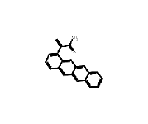 C=C(C(N)=O)c1cccc2cc3cc4ccccc4cc3cc12